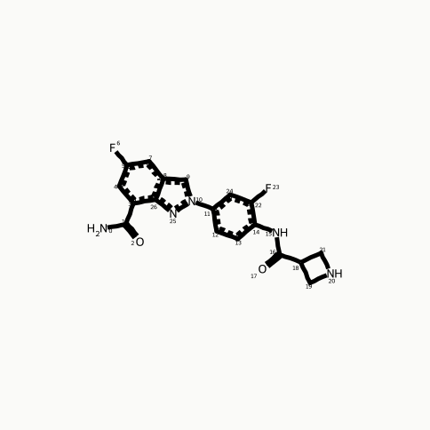 NC(=O)c1cc(F)cc2cn(-c3ccc(NC(=O)C4CNC4)c(F)c3)nc12